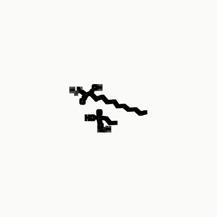 CCCCCCCCC[CH]C(O)C(N)=O.CCCS(=O)(=O)O.[NaH]